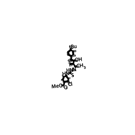 COC(=O)c1ccc(NC(=S)NN=C(C)c2csc(-c3ccc(C(C)(C)C)cc3)c2O)cc1Cl